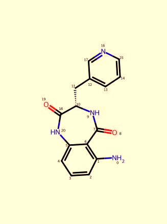 Nc1cccc2c1C(=O)N[C@@H](Cc1cccnc1)C(=O)N2